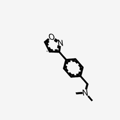 CN(C)Cc1ccc(-c2[c]con2)cc1